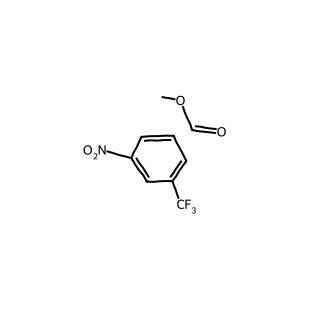 COC=O.O=[N+]([O-])c1cccc(C(F)(F)F)c1